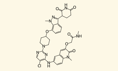 CNC(=O)COc1cc2cc(Nc3nc(N4CCC(Oc5cccc6c(C7CCC(=O)NC7=O)nn(C)c56)CC4)ncc3Cl)ccc2n(C)c1=O